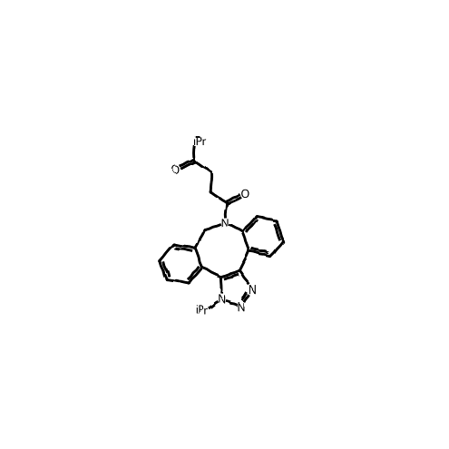 CC(C)C(=O)CCC(=O)N1Cc2ccccc2-c2c(nnn2C(C)C)-c2ccccc21